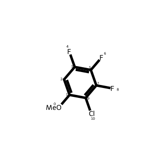 COc1cc(F)c(F)c(F)c1Cl